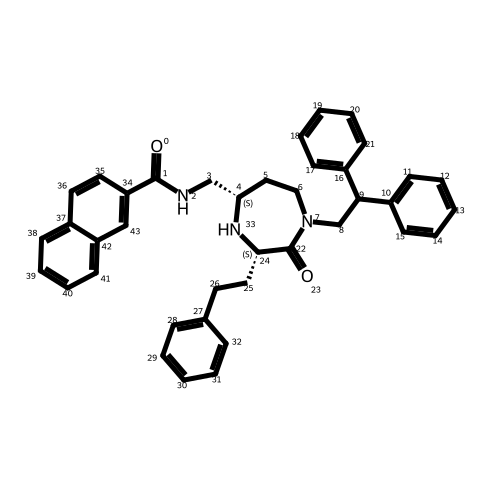 O=C(NC[C@@H]1CCN(CC(c2ccccc2)c2ccccc2)C(=O)[C@H](CCc2ccccc2)N1)c1ccc2ccccc2c1